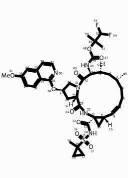 CC[C@@H]1C[C@H](C)CCC=C[C@@H]2C[C@@]2(C(=O)NS(=O)(=O)C2(C)CC2)NC(=O)[C@@H]2C[C@@H](Oc3nccc4cc(OC)ccc34)CN2C(=O)[C@H]1NC(=O)OC(C)(C)C(F)F